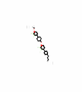 CCCCCc1ccc(-c2ccc(OCC3CCC(c4ccc(OCC)c(F)c4F)CC3)c(F)c2F)cc1